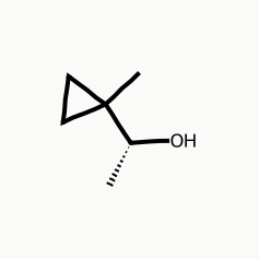 C[C@@H](O)C1(C)CC1